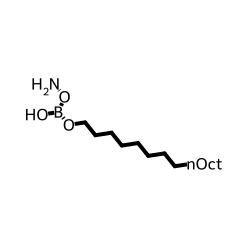 CCCCCCCCCCCCCCCCOB(O)ON